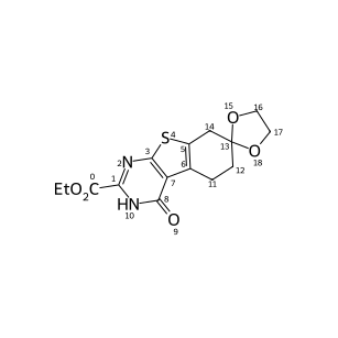 CCOC(=O)c1nc2sc3c(c2c(=O)[nH]1)CCC1(C3)OCCO1